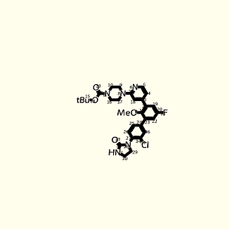 COc1c(-c2ccnc(N3CCN(C(=O)OC(C)(C)C)CC3)c2)cc(F)cc1-c1ccc(N2CCNC2=O)c(Cl)c1